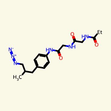 CCC(=O)NCC(=O)NCC(=O)Nc1ccc(CC(C)CN=[N+]=[N-])cc1